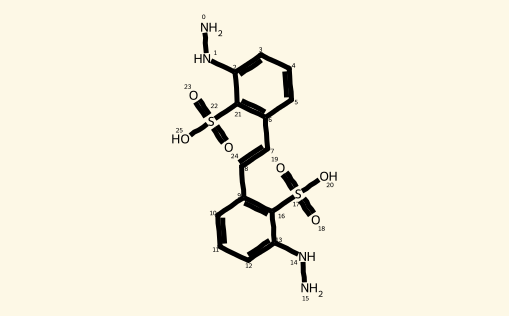 NNc1cccc(/C=C/c2cccc(NN)c2S(=O)(=O)O)c1S(=O)(=O)O